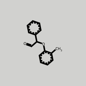 Cc1ccccc1OC([C]=O)c1ccccc1